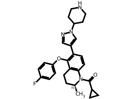 C[C@H]1CCc2c(ccc(-c3cnn(C4CCNCC4)c3)c2Oc2ccc(F)cc2)N1C(=O)C1CC1